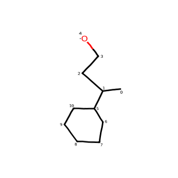 CC(CC[O])C1CCCCC1